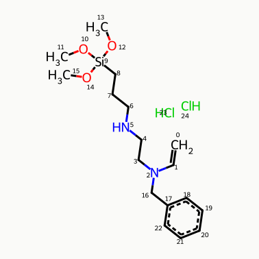 C=CN(CCNCCC[Si](OC)(OC)OC)Cc1ccccc1.Cl.Cl